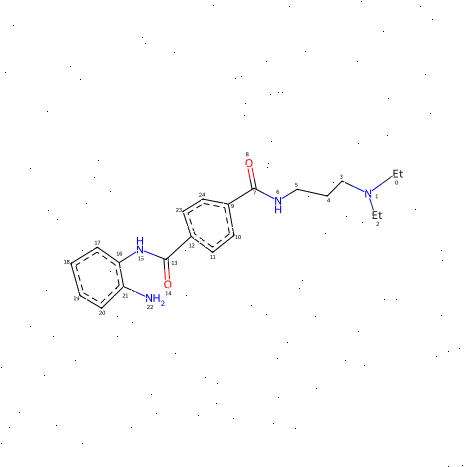 CCN(CC)CCCNC(=O)c1ccc(C(=O)Nc2ccccc2N)cc1